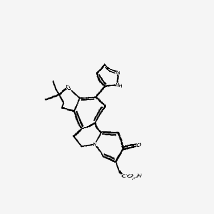 CC1(C)Cc2c3c(cc(-c4ccn[nH]4)c2O1)-c1cc(=O)c(C(=O)O)cn1CC3